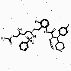 [N-]=[N+]=N[C@H](C(=O)Nc1cccc(F)c1CC[C@H](CC[C@H](O)COC(N)=O)NS(=O)(=O)c1ccccc1)[C@@H](c1ccc(F)cc1)C1CCOCC1